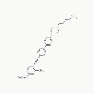 CCCCCC1CCC(c2ccc(-c3ccc(C#Cc4ccc(N=C=S)cc4C)cc3)cc2)CC1